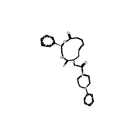 O=C1CC/C=C/C[C@@H](CC(=O)N2CCN(c3ccccc3)CC2)C(=O)NC[C@@H](c2ccccc2)O1